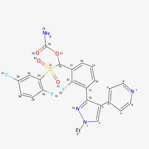 CCn1cc(-c2ccncc2)c(-c2cccc(C(OC(N)=O)S(=O)(=O)c3cc(F)ccc3F)c2F)n1